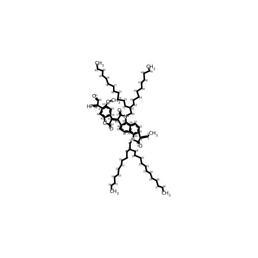 C/C=C1/C(=O)N(CC(CCCCCCCCCC)CCCCCCCCCCCC)c2c1ccc1c3c(ccc21)/C(=C1\C(=O)Oc2cc(C(=P)C=O)c(OC)cc21)C(=O)N3CC(CCCCCCCCCC)CCCCCCCCCCCC